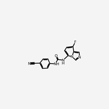 N#Cc1ccc(NC(=O)Nc2ccc(F)c3cncn23)cc1